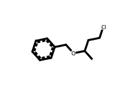 CC(CCCl)OCc1ccccc1